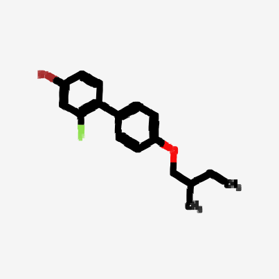 CCC(C)COc1ccc(-c2ccc(Br)cc2F)cc1